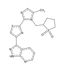 Cc1cnc(-c2nc(-c3n[nH]c4ncccc34)cs2)n1CC1CCCS1(=O)=O